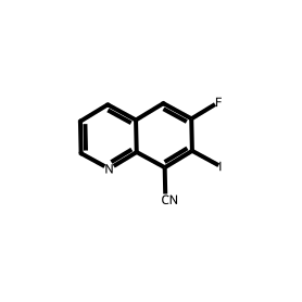 N#Cc1c(I)c(F)cc2cccnc12